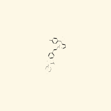 Cc1ccc(C(=O)c2cccn2CC=Cc2cccc(O[C@@H](C)C(=O)N3CCOCC3)c2)cc1